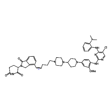 COc1cc(N2CCC(N3CCN(CCC/C=C\c4cccc5c4CN(C4CCC(=O)NC4=O)C5=O)CC3)CC2)ccc1Nc1ncc(Cl)c(Nc2ccccc2P(C)C)n1